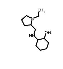 CCN1CCCC1CNC1CCCCC1O